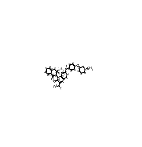 CC(C)C(=O)c1cc2cnc(Nc3ccc(OC4CCCN(C)C4)cc3)nc2n(C2C(=O)c3ccccc3CC2(C)C)c1=O